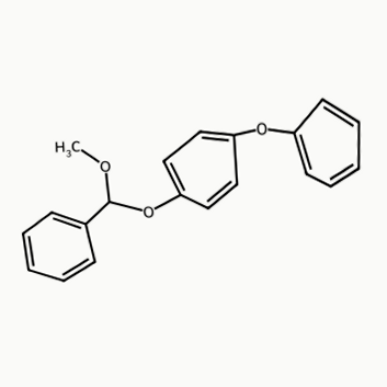 COC(Oc1ccc(Oc2ccccc2)cc1)c1ccccc1